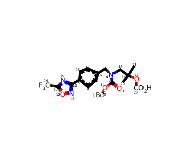 CC(C)(C)OC(=O)N(Cc1ccc(-c2noc(C(F)(F)F)n2)cc1)CC(C)(C)OC(=O)O